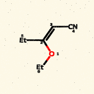 CCO/C(=C\C#N)CC